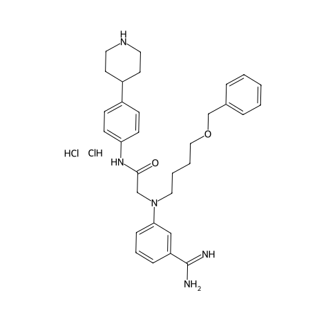 Cl.Cl.N=C(N)c1cccc(N(CCCCOCc2ccccc2)CC(=O)Nc2ccc(C3CCNCC3)cc2)c1